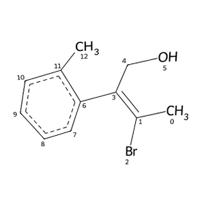 C/C(Br)=C(\CO)c1ccccc1C